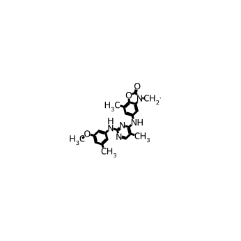 [CH2]n1c(=O)oc2c(C)cc(Nc3nc(Nc4cc(C)cc(OC)c4)ncc3C)cc21